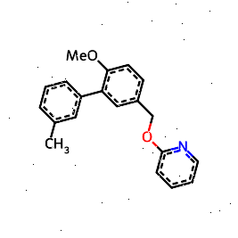 COc1ccc(COc2ccccn2)cc1-c1cccc(C)c1